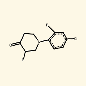 O=C1CCN(c2ccc(Cl)cc2F)CC1F